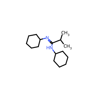 CC(C)C(=NC1CCCCC1)NC1CCCCC1